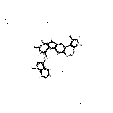 COc1cc2c(cc1-c1c(C)noc1C)[nH]c1nc(C)nc(Nc3cn(C)c4ncccc34)c12